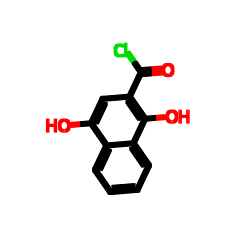 O=C(Cl)c1cc(O)c2ccccc2c1O